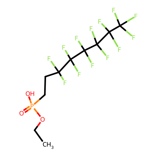 CCOP(=O)(O)CCC(F)(F)C(F)(F)C(F)(F)C(F)(F)C(F)(F)C(F)(F)F